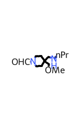 CCCNCC1(COC)CCN(C=O)CC1